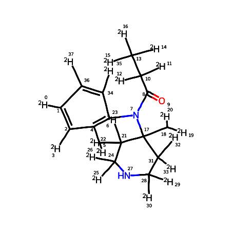 [2H]c1c([2H])c([2H])c(N(C(=O)C([2H])([2H])C([2H])([2H])[2H])C2(C([2H])[2H])C([2H])([2H])C([2H])([2H])NC([2H])([2H])C2([2H])[2H])c([2H])c1[2H]